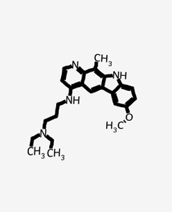 CCN(CC)CCCNc1ccnc2c(C)c3[nH]c4ccc(OC)cc4c3cc12